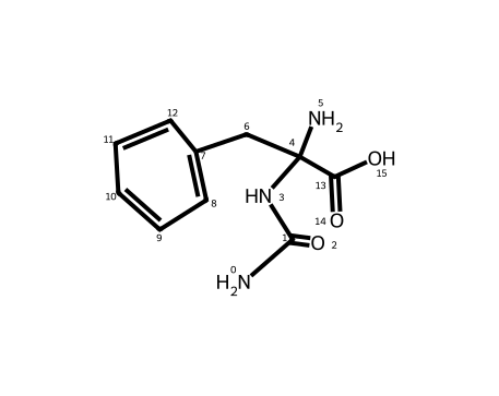 NC(=O)NC(N)(Cc1ccccc1)C(=O)O